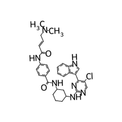 CN(C)C/C=C/C(=O)Nc1ccc(C(=O)NC2CCCC(Nc3ncc(Cl)c(-c4c[nH]c5ccccc45)n3)C2)cc1